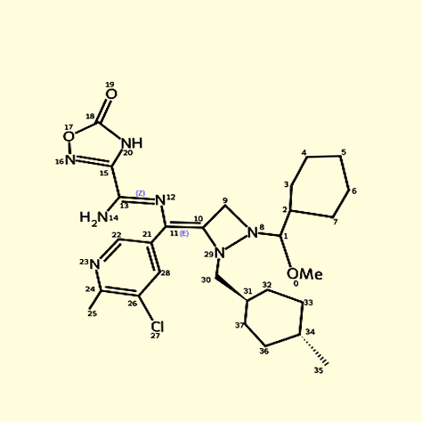 COC(C1CCCCC1)N1C/C(=C(\N=C(/N)c2noc(=O)[nH]2)c2cnc(C)c(Cl)c2)N1C[C@H]1CC[C@H](C)CC1